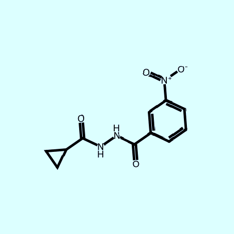 O=C(NNC(=O)C1CC1)c1cccc([N+](=O)[O-])c1